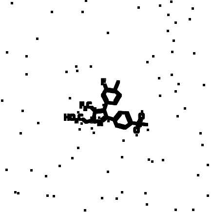 Cc1ccc(-c2c(-c3ccc(S(C)(=O)=O)cc3)nn(CC(=O)O)c2C(F)(F)F)cc1F